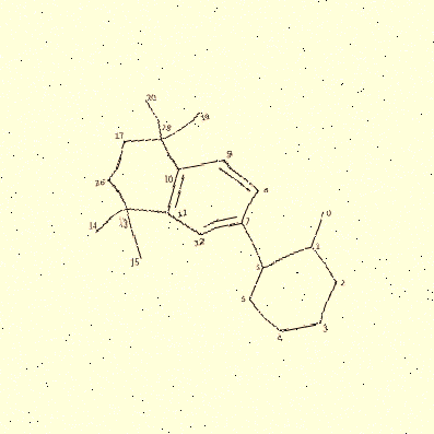 CC1CCCCC1c1ccc2c(c1)C(C)(C)CCC2(C)C